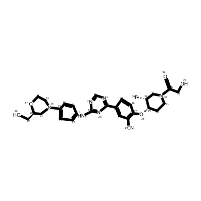 N#Cc1cc(-c2ncnc(Nc3ccc(N4CCO[C@H](CO)C4)cc3)n2)ccc1O[C@H]1CCN(C(=O)CO)C[C@H]1F